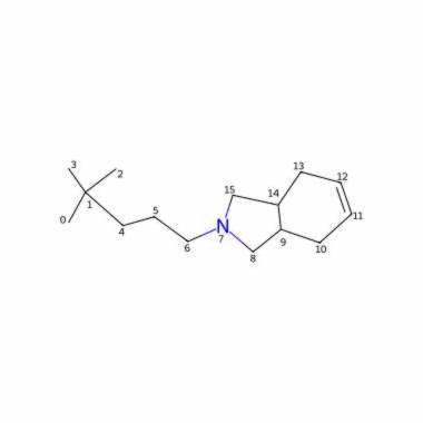 CC(C)(C)CCCN1CC2CC=CCC2C1